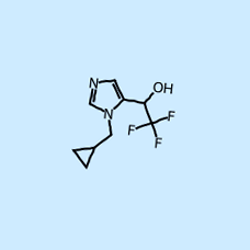 OC(c1cncn1CC1CC1)C(F)(F)F